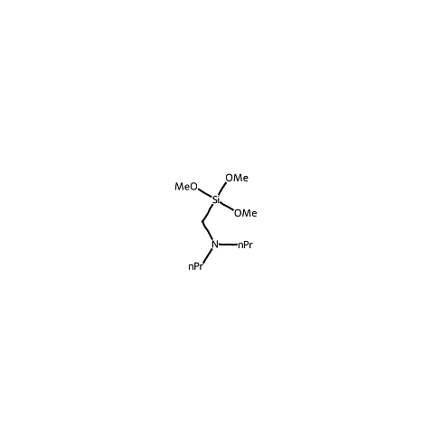 CCCN(CCC)C[Si](OC)(OC)OC